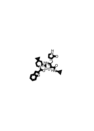 O=C(NC1CC1)C(=O)[C@H](C[C@@H]1CCNC1=O)NC(=O)[C@@H]1CC2(CCN1C(=O)c1cc3ccccc3s1)CC2